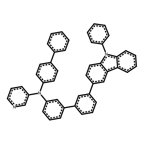 c1ccc(-c2ccc(N(c3cccnc3)c3cccc(-c4cccc(-c5ccc6c(c5)c5ccccc5n6-c5ccccc5)c4)c3)cc2)cc1